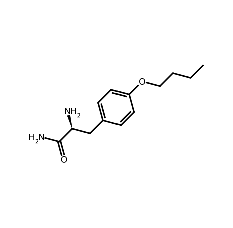 CCCCOc1ccc(C[C@H](N)C(N)=O)cc1